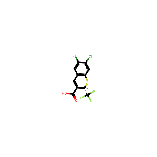 O=C(O)C1=Cc2cc(Cl)c(Cl)cc2S[C@@H]1C(F)(F)F